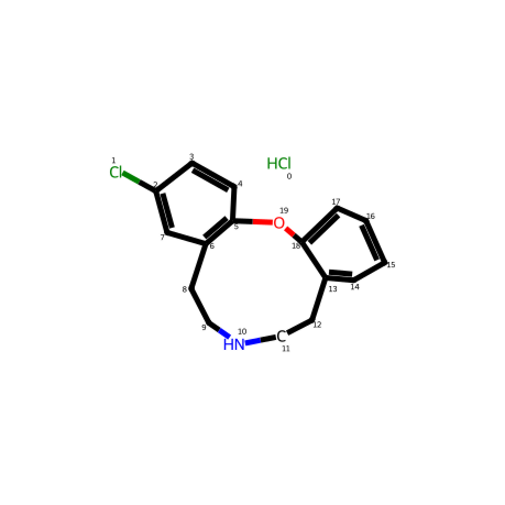 Cl.Clc1ccc2c(c1)CCNCCc1ccccc1O2